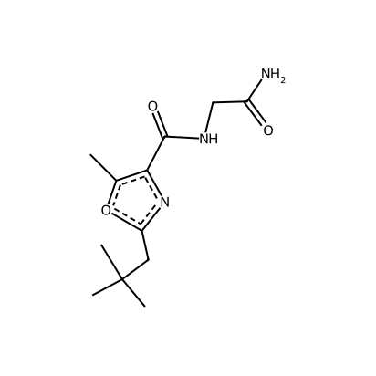 Cc1oc(CC(C)(C)C)nc1C(=O)NCC(N)=O